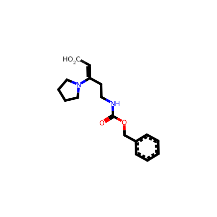 O=C(O)C=C(CCNC(=O)OCc1ccccc1)N1CCCC1